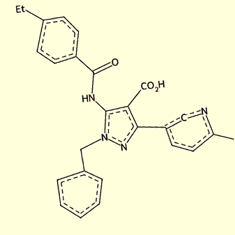 CCc1ccc(C(=O)Nc2c(C(=O)O)c(-c3ccc(C)nc3)nn2Cc2ccccc2)cc1